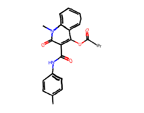 Cc1ccc(NC(=O)c2c(OC(=O)C(C)C)c3ccccc3n(C)c2=O)cc1